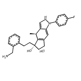 C[C@H]1C2=CNN(c3ccc(F)cc3)C2=CC2=C1[C@](O)(CCc1ccccc1CN)CC2.Cl